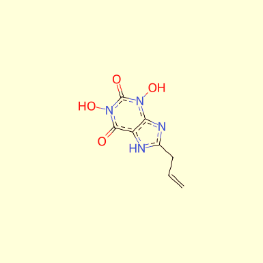 C=CCc1nc2c([nH]1)c(=O)n(O)c(=O)n2O